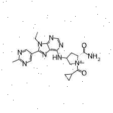 CCn1c(-c2cnc(C)nc2)nc2c(NC3C[C@H](C(N)=O)[N+](C)(C(=O)C4CC4)C3)ncnc21